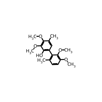 COc1ccc(C)c(-c2cc(C)c(OC)c(OC)c2O)c1OC